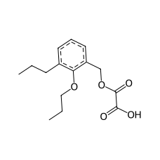 CCCOc1c(CCC)cccc1COC(=O)C(=O)O